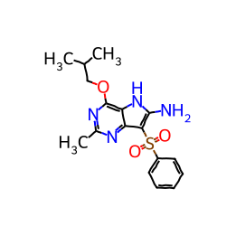 Cc1nc(OCC(C)C)c2[nH]c(N)c(S(=O)(=O)c3ccccc3)c2n1